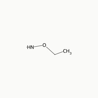 CCO[NH]